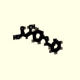 CC(=CC(=O)O)c1ccc(OCc2ccccn2)cc1